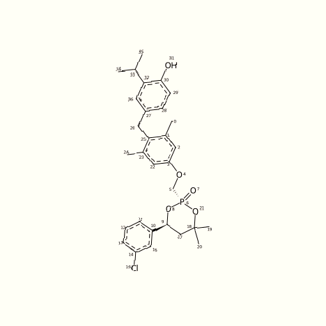 Cc1cc(OC[P@@]2(=O)O[C@H](c3cccc(Cl)c3)CC(C)(C)O2)cc(C)c1Cc1ccc(O)c(C(C)C)c1